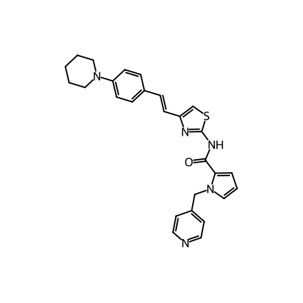 O=C(Nc1nc(/C=C/c2ccc(N3CCCCC3)cc2)cs1)c1cccn1Cc1ccncc1